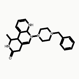 CC1NC(=O)CC2=CN(N3CCN(Cc4ccccc4)CC3)C3NC=CC=C3C21